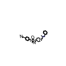 C/C(=C\c1ccccc1)CN1CCC(n2ncn(-c3ccc(C#N)cc3)c2=O)CC1